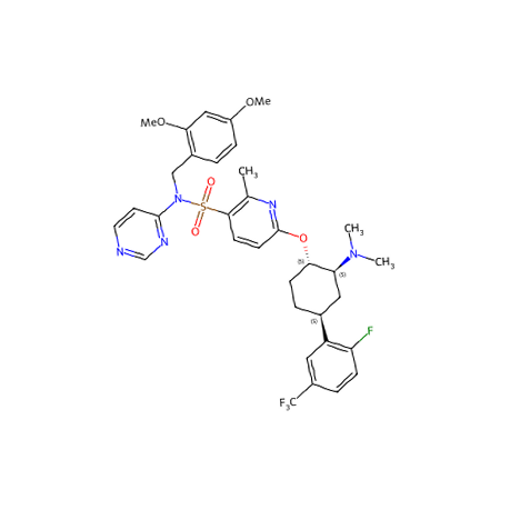 COc1ccc(CN(c2ccncn2)S(=O)(=O)c2ccc(O[C@H]3CC[C@H](c4cc(C(F)(F)F)ccc4F)C[C@@H]3N(C)C)nc2C)c(OC)c1